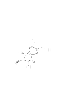 CCc1cc2c(cc1CC)[n+]([O-])c(C#N)c(O)[n+]2[O-]